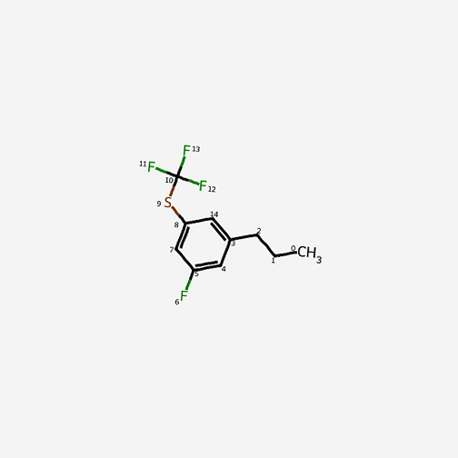 C[CH]Cc1cc(F)cc(SC(F)(F)F)c1